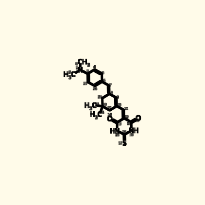 CN(C)c1ccc(/C=C2/C=C(C=C3C(=O)NC(=S)NC3=O)CC(C)(C)C2)cc1